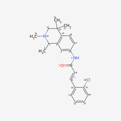 CC1c2cc(NC(=O)/C=C/c3ccccc3Cl)ccc2C(C)(C)CN1C